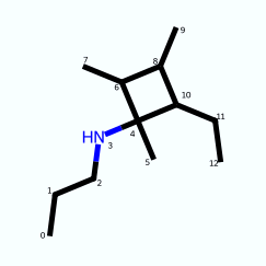 CCCNC1(C)C(C)C(C)C1CC